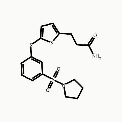 NC(=O)CCc1ccc(Sc2cccc(S(=O)(=O)N3CCCC3)c2)s1